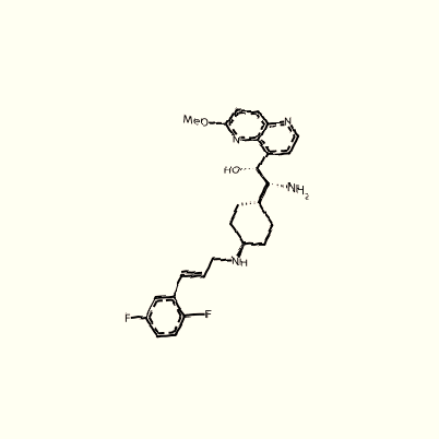 COc1ccc2nccc([C@@H](O)[C@H](N)[C@H]3CC[C@H](NC/C=C/c4cc(F)ccc4F)CC3)c2n1